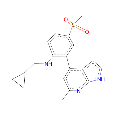 Cc1cc(-c2cc(S(C)(=O)=O)ccc2NCC2CC2)c2cc[nH]c2n1